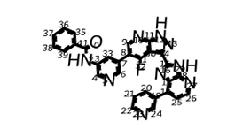 O=C(Nc1cncc(-c2cnc3[nH]nc(-c4nc5c(-c6cccnc6)ccnc5[nH]4)c3c2F)c1)c1ccccc1